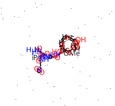 C=C1C2C[C@@H]3O[C@H](CC(O)CNC(=O)OCc4ccc(NC(=O)C(CCCNC(N)=O)NC(=O)[C@@H](NC(=O)CCCCCN5C(=O)C=CC5=O)C(C)C)cc4)[C@H](OC)C3CC(=O)CC3CC[C@@H]4OC5CC(OCC6(CCC7CC(=C)[C@H](CC[C@@H](C[C@H]1C)O2)O7)C[C@H](O)C5O6)[C@H]4O3